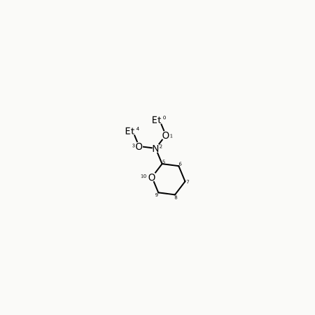 CCON(OCC)C1CCCCO1